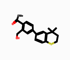 COC(=O)c1ccc(-c2ccc3c(c2)C(C)(C)CCS3)cc1CO